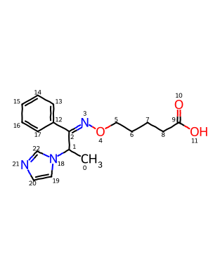 CC(/C(=N\OCCCCC(=O)O)c1ccccc1)n1ccnc1